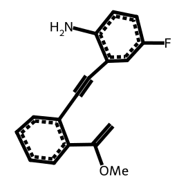 C=C(OC)c1ccccc1C#Cc1cc(F)ccc1N